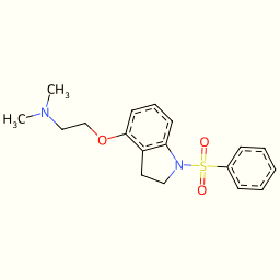 CN(C)CCOc1cccc2c1CCN2S(=O)(=O)c1ccccc1